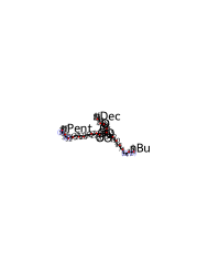 CCCC/C=C\C/C=C\CCCCCCCC(=O)O[C@@H](COC(=O)CCCCCCCCCCC/C=C\C/C=C\CCCCC)COC(=O)CCCCCCCCCCCCC